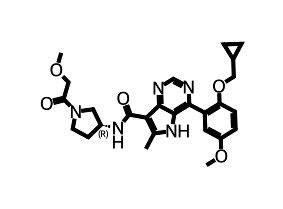 COCC(=O)N1CC[C@@H](NC(=O)c2c(C)[nH]c3c(-c4cc(OC)ccc4OCC4CC4)ncnc23)C1